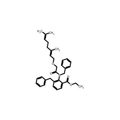 CCOC(=O)c1cccc(Cc2ccccc2)c1N(Cc1ccccc1)C(=O)COC/C=C(\C)CCC=C(C)C